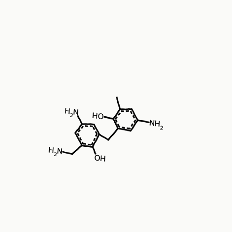 Cc1cc(N)cc(Cc2cc(N)cc(CN)c2O)c1O